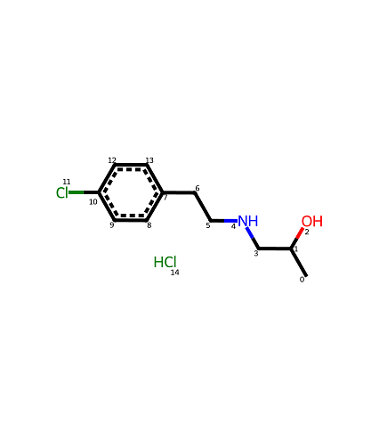 CC(O)CNCCc1ccc(Cl)cc1.Cl